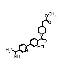 COC(=O)CC1CCN(C(=O)c2ccc(-c3ccc(C(=N)N)cn3)cc2)CC1.Cl